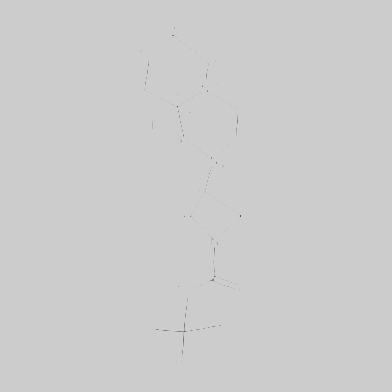 CC(C)(C)OC(=O)N1CC(N2CCN3CCOC[C@@H]3C2)C1